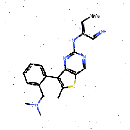 CN/C=C(\C=N)Nc1ncc2sc(C)c(-c3ccccc3CN(C)C)c2n1